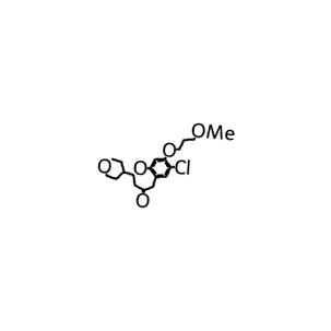 COCCCOc1cc2c(cc1Cl)CC(=O)CC(C1CCOCC1)O2